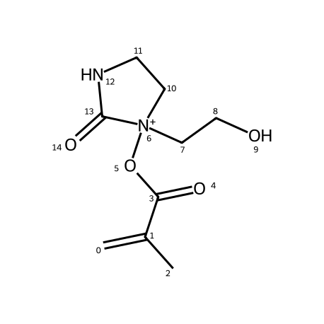 C=C(C)C(=O)O[N+]1(CCO)CCNC1=O